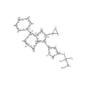 COC(C)(C)Cn1cc(-c2c(C3CC3)nc3c(-c4ccncc4)ccnn23)cn1